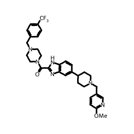 COc1ccc(CN2CCC(c3ccc4[nH]c(C(=O)N5CCN(Cc6ccc(C(F)(F)F)cc6)CC5)nc4c3)CC2)cn1